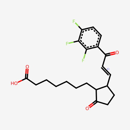 O=C(O)CCCCCCC1C(=O)CCC1/C=C/C(=O)c1ccc(F)c(F)c1F